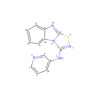 c1cncc(Nc2nsc3nc4ccccc4n23)c1